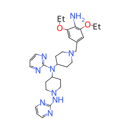 CCOc1cc(CN2CCC(N(c3ncccn3)C3CCN(Nc4ncccn4)CC3)CC2)cc(OCC)c1N